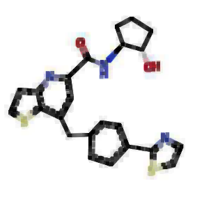 O=C(N[C@H]1CCC[C@@H]1O)c1cc(Cc2ccc(-c3nccs3)cc2)c2sccc2n1